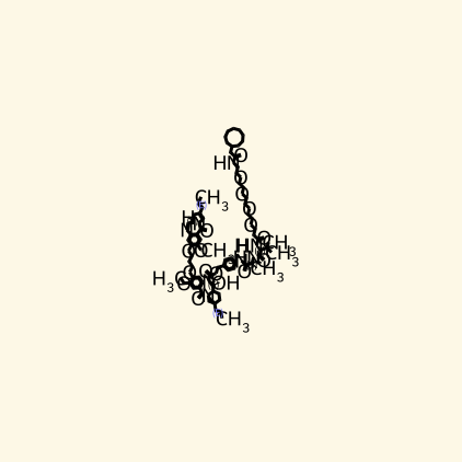 C/C=C/C1=CN2C(=O)c3cc(OC)c(OCCCOc4cc5c(cc4OC)C(=O)N4C=C(/C=C/C)C[C@H]4C=N5)cc3N(C(=O)OCc3ccc(NC(=O)[C@H](C)NC(=O)[C@@H](NC(=O)CCOCCOCCOCCOCCNC(=O)CC4CCCCCCCC4)C(C)C)cc3)[C@@H](O)C2CC1